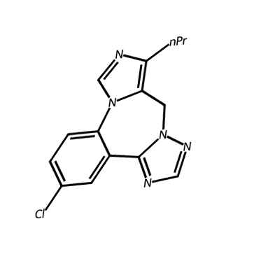 CCCc1ncn2c1Cn1ncnc1-c1cc(Cl)ccc1-2